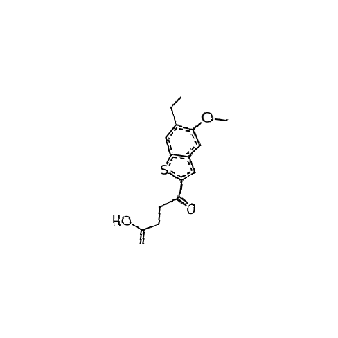 C=C(O)CCC(=O)c1cc2cc(OC)c(CC)cc2s1